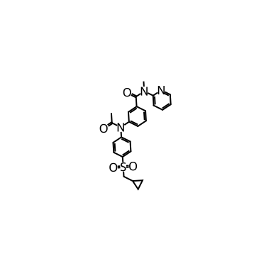 CC(=O)N(c1ccc(S(=O)(=O)CC2CC2)cc1)c1cccc(C(=O)N(C)c2ccccn2)c1